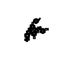 CS(=O)(=O)c1ccc(CN(Cc2cc(CNS(=O)(=O)c3cccc(C#N)c3)cc(Oc3ccc(F)cc3)c2)S(=O)(=O)c2cc(Cl)cc(Cl)c2O)cc1